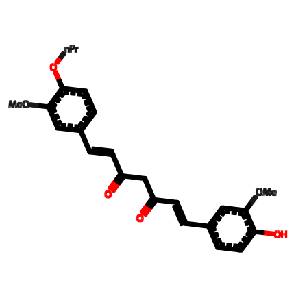 CCCOc1ccc(/C=C/C(=O)CC(=O)/C=C/c2ccc(O)c(OC)c2)cc1OC